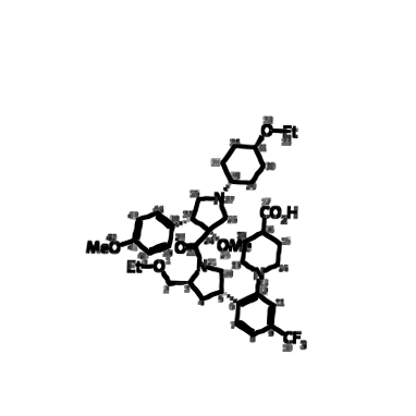 CCOC[C@@H]1C[C@@H](c2ccc(C(F)(F)F)cc2N2CCC(C(=O)O)CC2)CN1C(=O)[C@]1(OC)CN([C@H]2CC[C@H](OCC)CC2)C[C@H]1c1ccc(OC)cc1